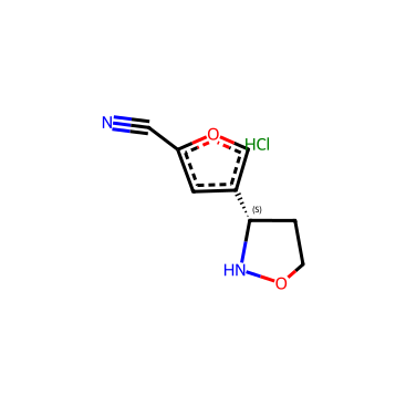 Cl.N#Cc1cc([C@@H]2CCON2)co1